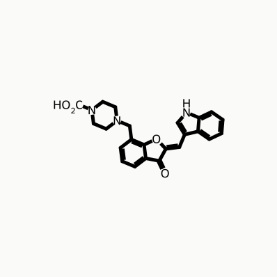 O=C1/C(=C/c2c[nH]c3ccccc23)Oc2c(CN3CCN(C(=O)O)CC3)cccc21